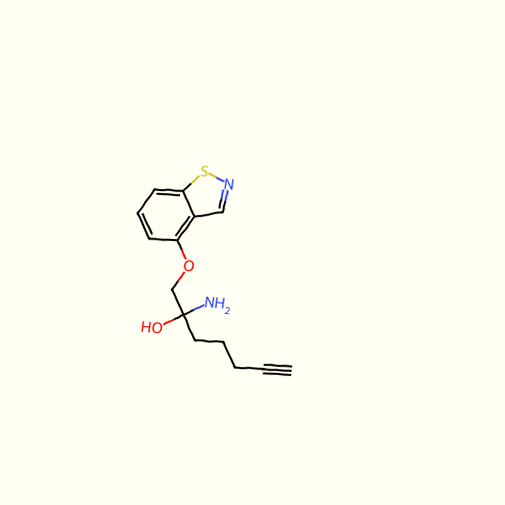 C#CCCCC(N)(O)COc1cccc2sncc12